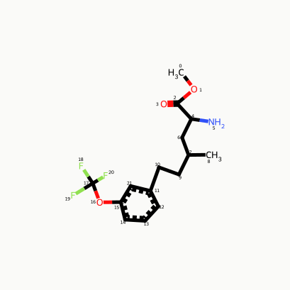 COC(=O)C(N)CC(C)CCc1cccc(OC(F)(F)F)c1